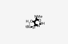 CNC(=O)C(C)/C(=N\O)SC(C)(C)C